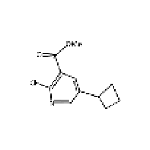 COC(=O)c1cc(C2CCC2)cnc1Cl